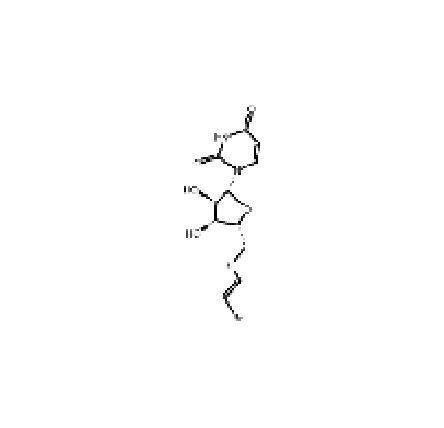 O=c1ccn([C@@H]2O[C@H](COC=CBr)[C@@H](O)[C@H]2O)c(=O)[nH]1